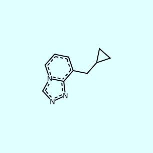 c1cc(CC2CC2)c2nncn2c1